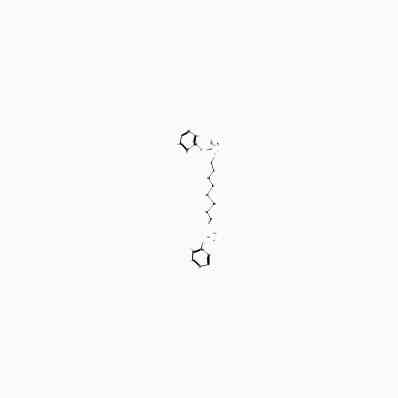 O=P(Cl)(OCCCCCCCCOP(=O)(Cl)Oc1ccccc1)Oc1ccccc1